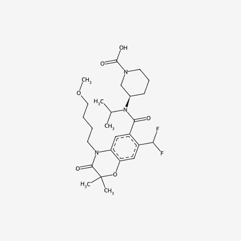 COCCCCN1C(=O)C(C)(C)Oc2cc(C(F)F)c(C(=O)N(C(C)C)[C@@H]3CCCN(C(=O)O)C3)cc21